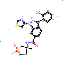 CC1(NC(=O)c2ccc3c(-c4ccccc4Cl)nn(-c4cscn4)c3c2)CCS(=O)(=O)C1